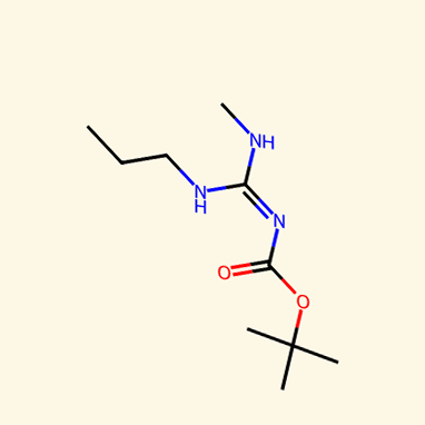 CCCN/C(=N\C(=O)OC(C)(C)C)NC